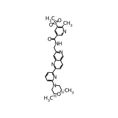 Cc1ncc(C(=O)NCc2cc3nc(-c4cccc(N5C[C@@H](C)O[C@@H](C)C5)n4)ccc3cn2)cc1S(C)(=O)=O